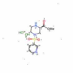 COC(=O)[C@H]1CN(S(=O)(=O)c2cccnc2)CCN1.Cl.Cl